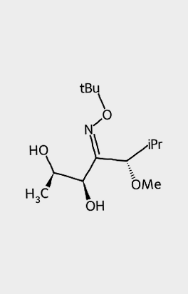 CO[C@H](/C(=N\OC(C)(C)C)[C@@H](O)[C@@H](C)O)C(C)C